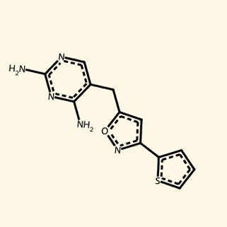 Nc1ncc(Cc2cc(-c3cccs3)no2)c(N)n1